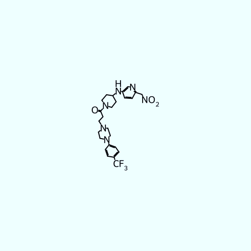 O=C(CCN1CCN(c2ccc(C(F)(F)F)cc2)CC1)N1CCC(Nc2ccc(C[N+](=O)[O-])nc2)CC1